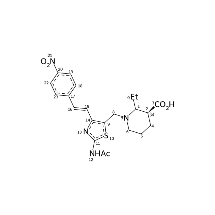 CCC1[C@@H](C(=O)O)CCCN1Cc1sc(NC(C)=O)nc1C=Cc1ccc([N+](=O)[O-])cc1